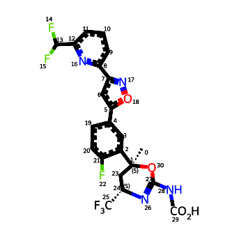 C[C@@]1(c2cc(-c3cc(-c4cccc(C(F)F)n4)no3)ccc2F)C[C@@H](C(F)(F)F)N=C(NC(=O)O)O1